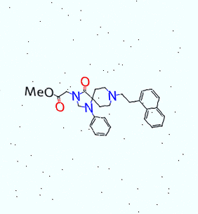 COC(=O)CN1CN(c2ccccc2)C2(CCN(CCc3cccc4ccccc34)CC2)C1=O